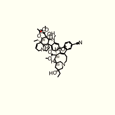 CC[C@]1(O)C[C@H]2CN(CCC3=C(Bc4ccc(C#N)cc43)[C@@](C(=O)OC)(C3C=C4C(=CC3OC)N(C)[C@H]3[C@@](O)(C(=O)OC)[C@H](OC(C)=O)[C@]5(CC)C=CCN6CC[C@]43[C@@H]65)C2)C1